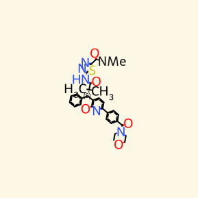 CNC(=O)c1nnc(NC(=O)C(C)(C)[C@H]2c3ccccc3Oc3nc(-c4ccc(C(=O)N5CCOCC5)cc4)ccc32)s1